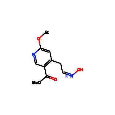 CCOc1cc(C/C=N\O)c(C(=O)OC)cn1